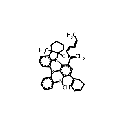 C=C(/C=C\C=C/C)c1cc(C2=CC=CCC2)c2c3c1N1c4c(cccc4C4(C)CCCCC14C)B3c1ccccc1N2C